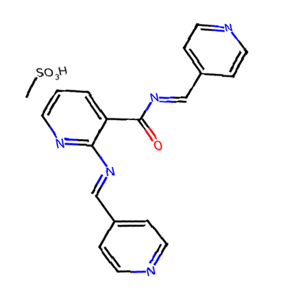 CS(=O)(=O)O.O=C(N=Cc1ccncc1)c1cccnc1N=Cc1ccncc1